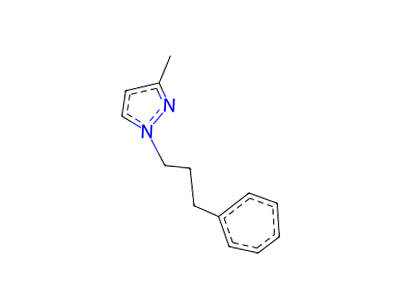 Cc1ccn(CCCc2ccccc2)n1